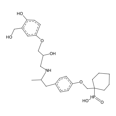 CC(Cc1ccc(OCC2([PH](=O)O)CCCCC2)cc1)NCC(O)COc1ccc(O)c(CO)c1